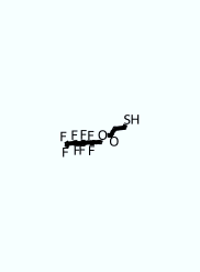 O=C(CCS)OCC(F)(F)C(F)(F)C(F)(F)C(F)F